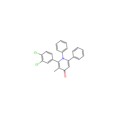 Cc1c(-c2ccc(Cl)c(Cl)c2)n(-c2ccccc2)c(-c2ccccc2)cc1=O